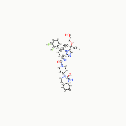 CC(C)(OCCO)c1cnc2n1C[C@H](c1cccc(F)c1F)CC[C@H]2NC(=O)N1CCC(N2CCc3ccccc3NC2=O)CC1